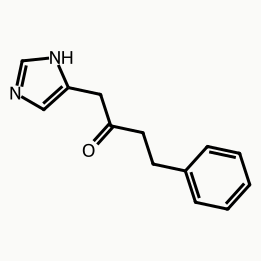 O=C(CCc1ccccc1)Cc1cnc[nH]1